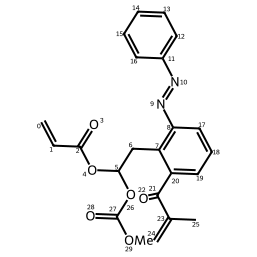 C=CC(=O)OC(Cc1c(N=Nc2ccccc2)cccc1C(=O)C(=C)C)OC(=O)OC